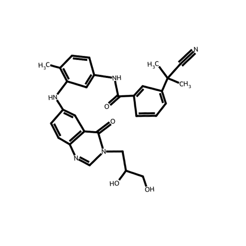 Cc1ccc(NC(=O)c2cccc(C(C)(C)C#N)c2)cc1Nc1ccc2ncn(CC(O)CO)c(=O)c2c1